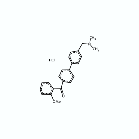 COc1ccccc1C(=O)c1ccc(-c2ccc(CN(C)C)cc2)cc1.Cl